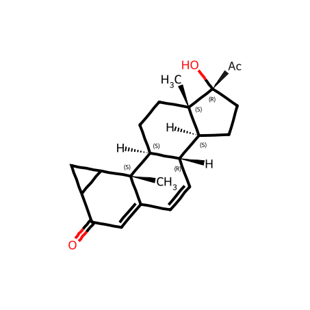 CC(=O)[C@@]1(O)CC[C@H]2[C@@H]3C=CC4=CC(=O)C5CC5[C@]4(C)[C@H]3CC[C@@]21C